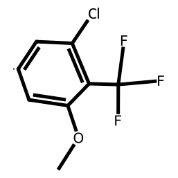 COc1c[c]cc(Cl)c1C(F)(F)F